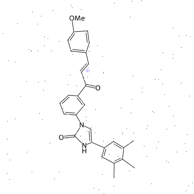 COc1ccc(/C=C/C(=O)c2cccc(-n3cc(-c4cc(C)c(C)c(C)c4)[nH]c3=O)c2)cc1